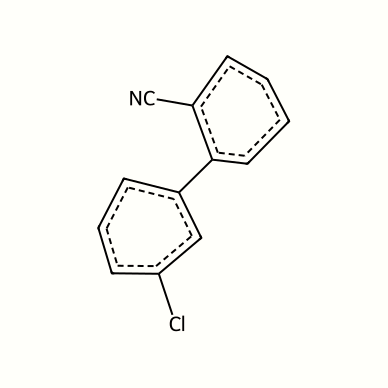 N#Cc1ccccc1-c1cccc(Cl)c1